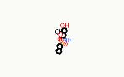 CCOC(=O)[C@H](Cc1ccc(O)cc1)NS(=O)(=O)c1ccc2ccccc2c1